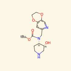 CC(C)(C)OC(=O)N(Cc1cc2c(cn1)OCCO2)[C@H]1CCNC[C@H]1O